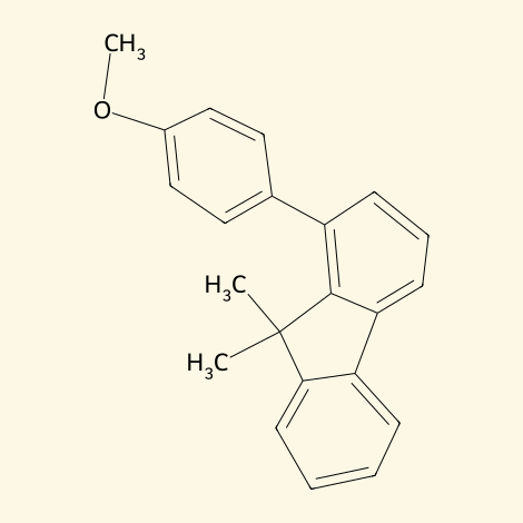 COc1ccc(-c2cccc3c2C(C)(C)c2ccccc2-3)cc1